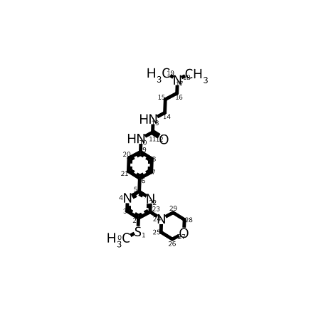 CSc1cnc(-c2ccc(NC(=O)NCCCN(C)C)cc2)nc1N1CCOCC1